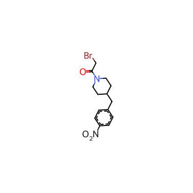 O=C(CBr)N1CCC(Cc2ccc([N+](=O)[O-])cc2)CC1